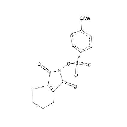 COc1ccc(S(=O)(=O)ON2C(=O)C3=C(CCCC3)C2=O)cc1